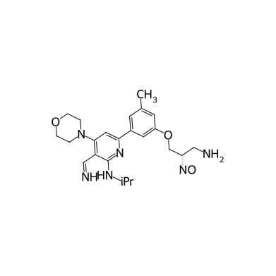 Cc1cc(OC[C@H](CN)N=O)cc(-c2cc(N3CCOCC3)c(C=N)c(NC(C)C)n2)c1